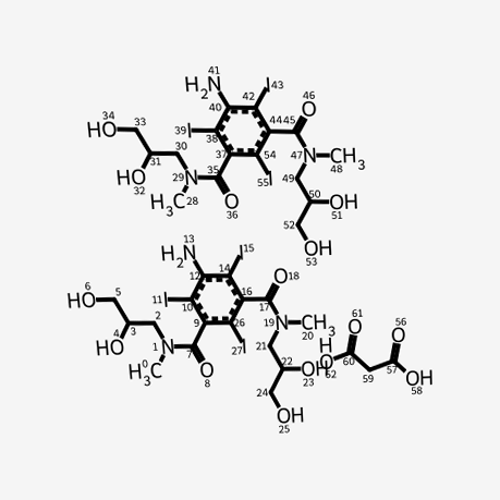 CN(CC(O)CO)C(=O)c1c(I)c(N)c(I)c(C(=O)N(C)CC(O)CO)c1I.CN(CC(O)CO)C(=O)c1c(I)c(N)c(I)c(C(=O)N(C)CC(O)CO)c1I.O=C(O)CC(=O)O